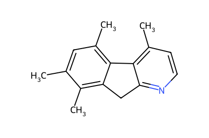 Cc1cc(C)c2c(c1C)Cc1nccc(C)c1-2